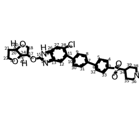 O=S(=O)(c1ccc(-c2ccc(-c3cc4nc(OC5CO[C@@H]6CCO[C@H]56)[nH]c4cc3Cl)cc2)cc1)C1CCNCC1